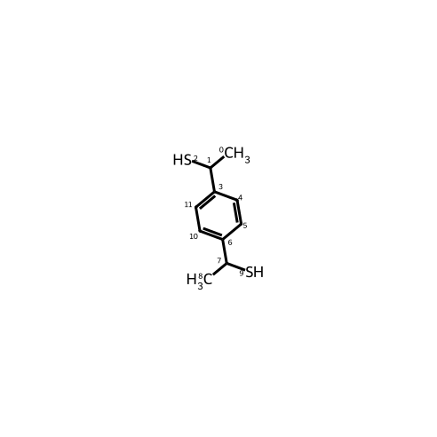 CC(S)c1ccc(C(C)S)cc1